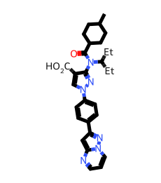 CCC(CC)N(C(=O)C1CCC(C)CC1)c1nn(-c2ccc(-c3cc4ncccn4n3)cc2)cc1C(=O)O